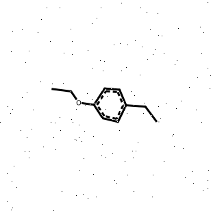 [CH2]Cc1ccc(OCC)cc1